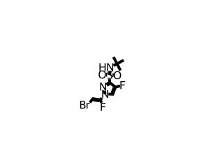 CC(C)(C)NS(=O)(=O)c1nn(C(F)=CBr)cc1F